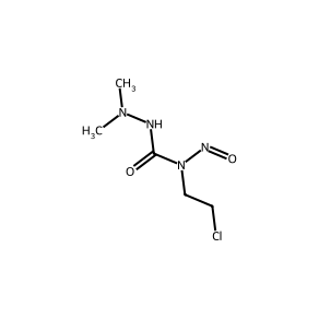 CN(C)NC(=O)N(CCCl)N=O